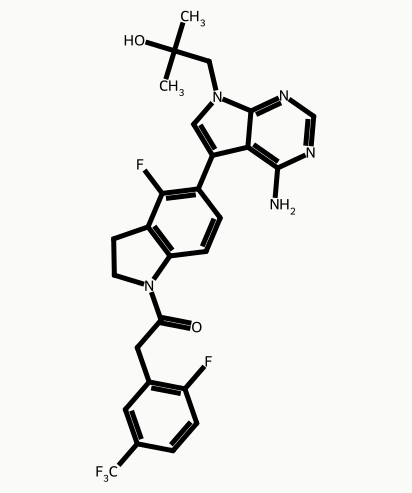 CC(C)(O)Cn1cc(-c2ccc3c(c2F)CCN3C(=O)Cc2cc(C(F)(F)F)ccc2F)c2c(N)ncnc21